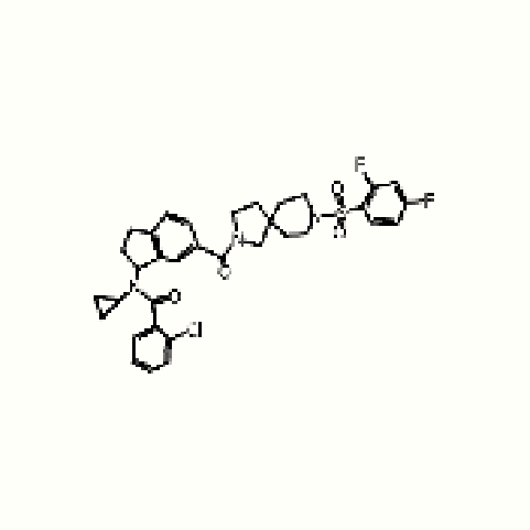 O=C(c1ccc2c(c1)C(N(C(=O)c1ccccc1Cl)C1CC1)CC2)N1CCC2(CCN(S(=O)(=O)c3ccc(F)cc3F)CC2)C1